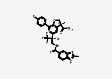 Cc1nc2cc(C(=O)NC[C@](O)(c3cc4c(c(-c5ccc(F)cc5)n3)OC[C@]4(C)C(N)=O)C(F)(F)F)ccc2[nH]1